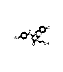 CCCCc1ccc(Nc2nc(=O)n(CCO)c(=O)n2Cc2ccc(Cl)cc2)cc1